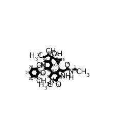 CCNC(=O)c1cc2c(-c3cc(C(O)(C(C)CC)C4CC4)cnc3Oc3c(C)cccc3C)cn(C)c(=O)c2[nH]1